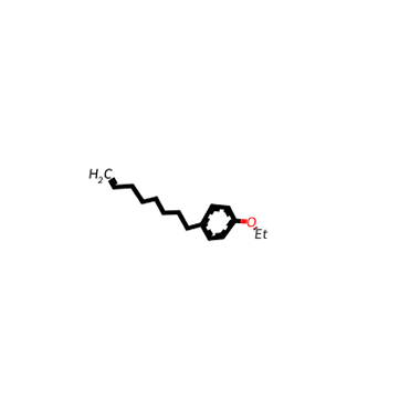 C=CCCCCCCc1ccc(OCC)cc1